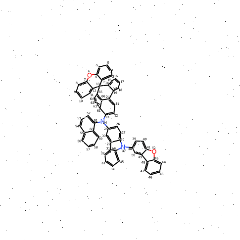 c1ccc2c(c1)Oc1ccccc1C21c2ccccc2-c2ccc(N(c3ccc4c(c3)c3ccccc3n4-c3ccc4oc5ccccc5c4c3)c3cccc4ccccc34)c3cccc1c23